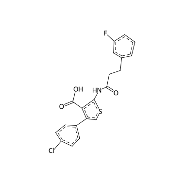 O=C(CCc1cccc(F)c1)Nc1scc(-c2ccc(Cl)cc2)c1C(=O)O